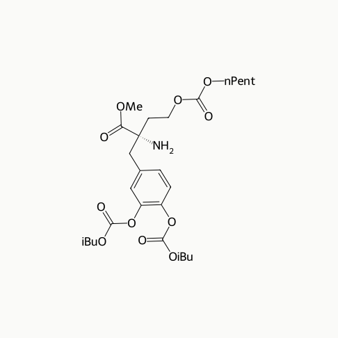 CCCCCOC(=O)OCC[C@@](N)(Cc1ccc(OC(=O)OCC(C)C)c(OC(=O)OCC(C)C)c1)C(=O)OC